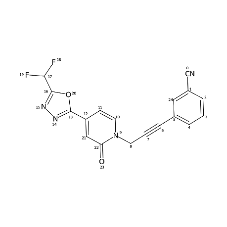 N#Cc1cccc(C#CCn2ccc(-c3nnc(C(F)F)o3)cc2=O)c1